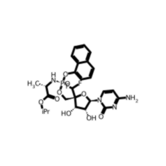 CC(C)OC(=O)[C@H](C)N[P@](=O)(OC[C@@]1(C(F)F)O[C@@H](n2ccc(N)nc2=O)[C@H](O)[C@@H]1O)Oc1cccc2ccccc12